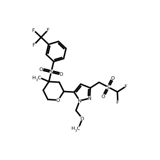 COCn1nc(CS(=O)(=O)C(F)F)cc1C1CC(C)(S(=O)(=O)c2cccc(C(F)(F)F)c2)CCO1